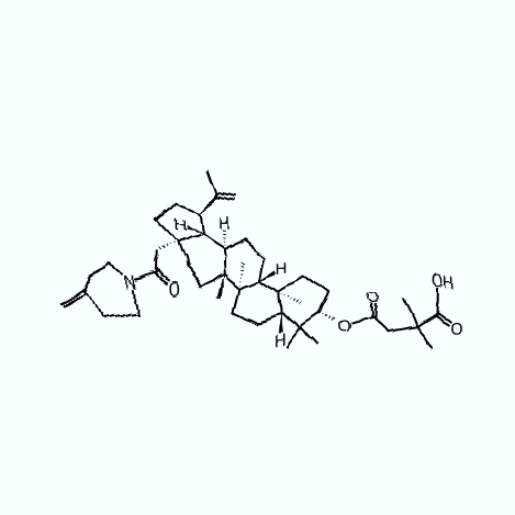 C=C1CCN(C(=O)C[C@]23CC[C@@H](C(=C)C)[C@@H]2[C@H]2CC[C@@H]4[C@@]5(C)CC[C@H](OC(=O)CC(C)(C)C(=O)O)C(C)(C)[C@@H]5CC[C@@]4(C)[C@]2(C)CC3)CC1